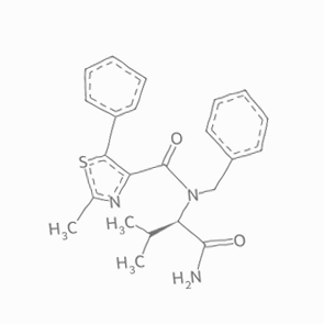 Cc1nc(C(=O)N(Cc2ccccc2)[C@@H](C(N)=O)C(C)C)c(-c2ccccc2)s1